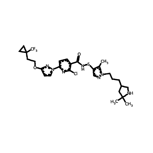 Cc1c(SNC(=O)c2ccc(-n3ccc(OCCC4(C(F)(F)F)CC4)n3)nc2Cl)cnn1CCCC1CNC(C)(C)C1